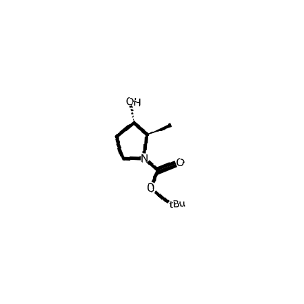 C[C@@H]1[C@@H](O)CCN1C(=O)OC(C)(C)C